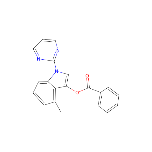 Cc1cccc2c1c(OC(=O)c1ccccc1)cn2-c1ncccn1